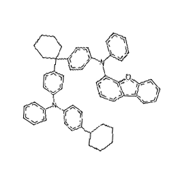 c1ccc(N(c2ccc(C3CCCCC3)cc2)c2ccc(C3(c4ccc(N(c5ccccc5)c5cccc6c5oc5ccccc56)cc4)CCCCC3)cc2)cc1